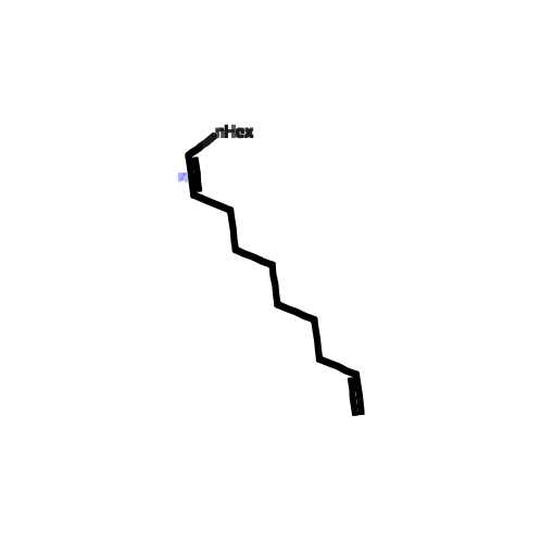 C=CCCCCCC/C=C\CCCCCC